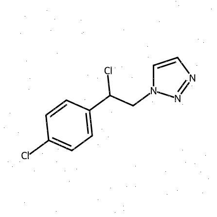 Clc1ccc(C(Cl)Cn2ccnn2)cc1